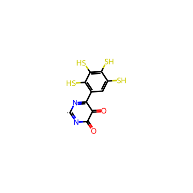 O=C1N=[C]N=C(c2cc(S)c(S)c(S)c2S)C1=O